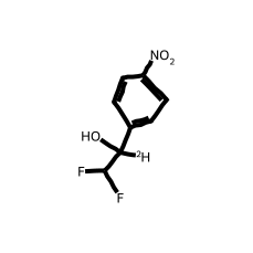 [2H]C(O)(c1ccc([N+](=O)[O-])cc1)C(F)F